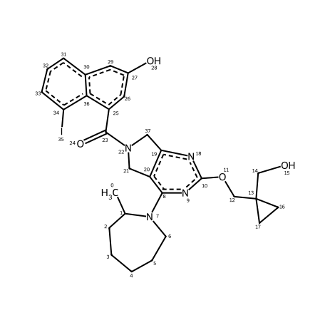 CC1CCCCCN1c1nc(OCC2(CO)CC2)nc2c1CN(C(=O)c1cc(O)cc3cccc(I)c13)C2